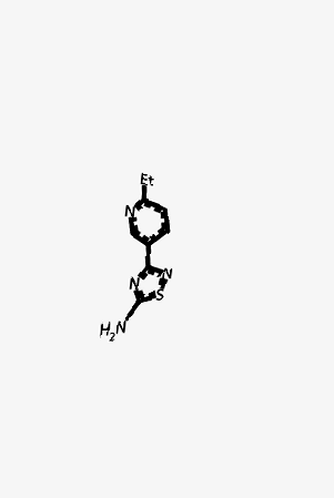 CCc1ccc(-c2nsc(N)n2)cn1